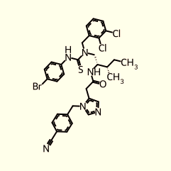 CC[C@H](C)[C@@H](CN(Cc1cccc(Cl)c1Cl)C(=S)Nc1ccc(Br)cc1)NC(=O)Cc1cncn1Cc1ccc(C#N)cc1